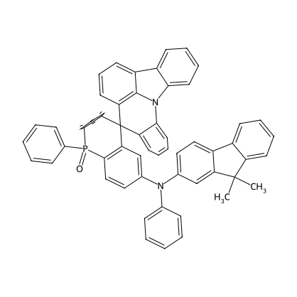 CC1(C)c2ccccc2-c2ccc(N(c3ccccc3)c3ccc4c(c3)C3(c5ccccc5-n5c6ccccc6c6cccc3c65)c3ccccc3P4(=O)c3ccccc3)cc21